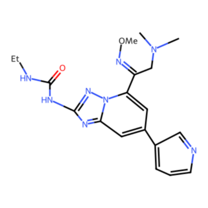 CCNC(=O)Nc1nc2cc(-c3cccnc3)cc(C(CN(C)C)=NOC)n2n1